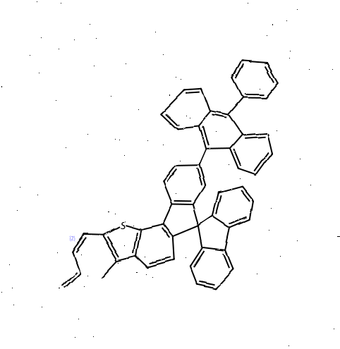 C=C/C=C\c1sc2c3c(ccc2c1C)C1(c2ccccc2-c2ccccc21)c1cc(-c2c4ccccc4c(-c4ccccc4)c4ccccc24)ccc1-3